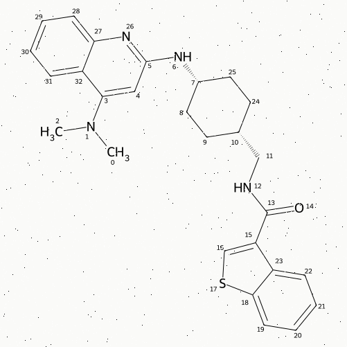 CN(C)c1cc(N[C@H]2CC[C@@H](CNC(=O)c3csc4ccccc34)CC2)nc2ccccc12